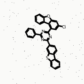 Clc1cc(-c2nc(-c3ccccc3)nc(-c3ccc4c(c3)sc3ccccc34)n2)c2c(c1)oc1ccccc12